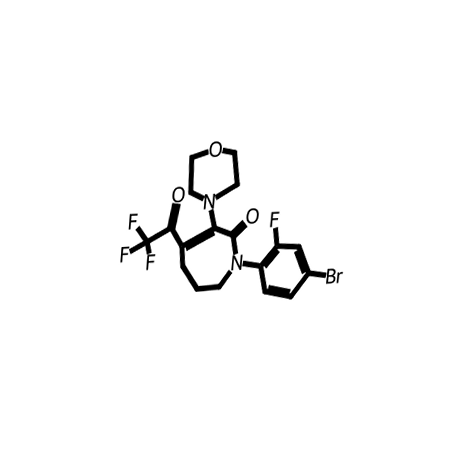 O=C1C(N2CCOCC2)=C(C(=O)C(F)(F)F)CCCN1c1ccc(Br)cc1F